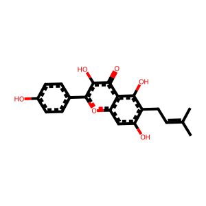 CC(C)=CCc1c(O)cc2oc(-c3ccc(O)cc3)c(O)c(=O)c2c1O